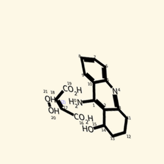 Nc1c2c(nc3ccccc13)CCCC2O.O=C(O)/C=C\C(=O)O.OO